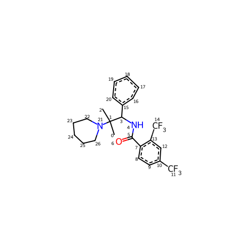 CC(C)(C(NC(=O)c1ccc(C(F)(F)F)cc1C(F)(F)F)c1ccccc1)N1CCCCC1